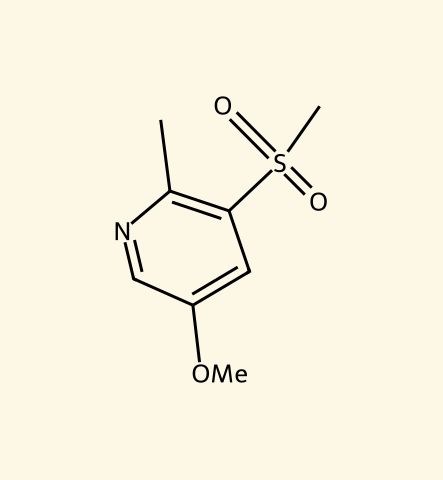 COc1cnc(C)c(S(C)(=O)=O)c1